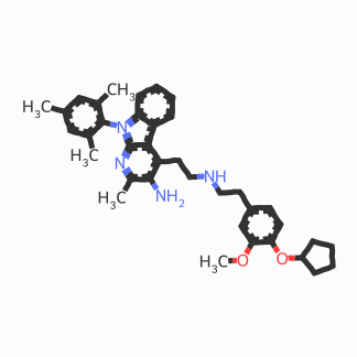 COc1cc(CCNCCc2c(N)c(C)nc3c2c2ccccc2n3-c2c(C)cc(C)cc2C)ccc1OC1CCCC1